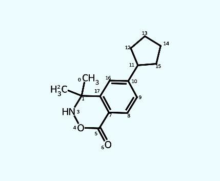 CC1(C)NOC(=O)c2ccc(C3CCCC3)cc21